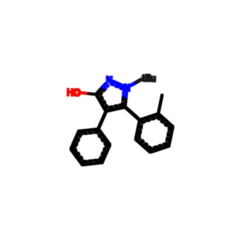 Cc1ccccc1-c1c(-c2ccccc2)c(O)nn1C(C)(C)C